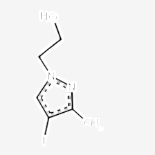 Cc1nn(CCO)cc1I